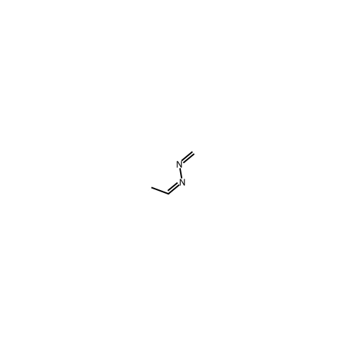 C=N/N=C\C